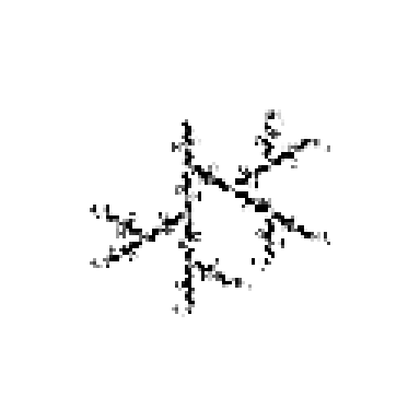 CCCC(=O)NCCN(CCC(=O)NCCN(CCC(=O)NCCN(CCC(=O)CCCN)CCC(=O)NCCN)CCC(=O)NCCN(CCC(=O)NCCN)CCC(=O)NCCN)CCC(=O)NCCN(CCC(=O)NCCN(CCC(=O)NCCN)CCC(=O)NCCN)CCC(=O)NCCN(CCC(=O)NCCN)CCC(=O)NCCN